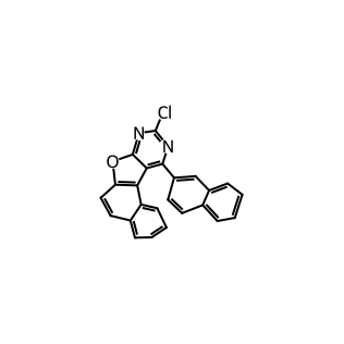 Clc1nc(-c2ccc3ccccc3c2)c2c(n1)oc1ccc3ccccc3c12